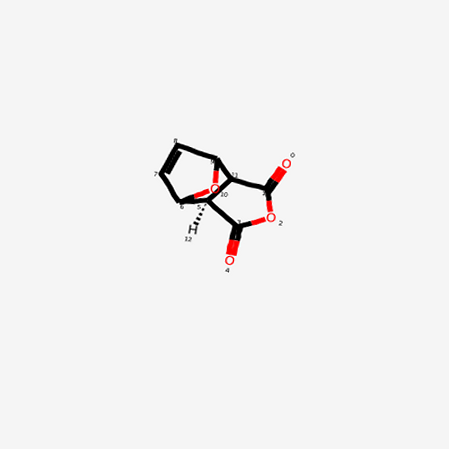 O=C1OC(=O)[C@H]2C3C=CC(O3)C12